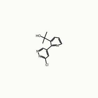 CC(C)(O)c1cccnc1-c1cnnc(Cl)c1